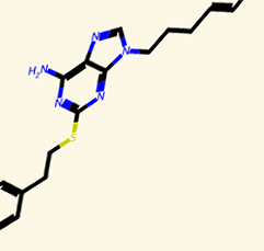 CCC=CCCCn1cnc2c(N)nc(SCCc3ccccc3)nc21